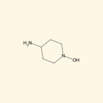 NC1CCN(O)CC1